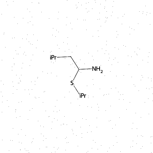 CC(C)CC(N)SC(C)C